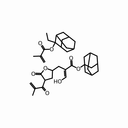 C=C(C)C(=O)C1CC(CC(=CO)C(=O)OC23CC4CC(CC(C4)C2)C3)OC1=O.C=C(C)C(=O)OC1(CC)C2CC3CC(C2)CC1C3